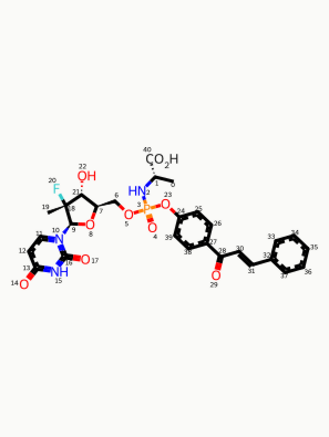 C[C@H](NP(=O)(OC[C@H]1O[C@@H](n2ccc(=O)[nH]c2=O)[C@](C)(F)[C@@H]1O)Oc1ccc(C(=O)C=Cc2ccccc2)cc1)C(=O)O